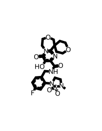 CN1CCN(c2cc(F)ccc2CNC(=O)c2nc3n(c(=O)c2O)CCOCC32CCOCC2)S1(=O)=O